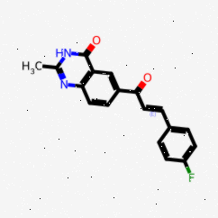 Cc1nc2ccc(C(=O)/C=C/c3ccc(F)cc3)cc2c(=O)[nH]1